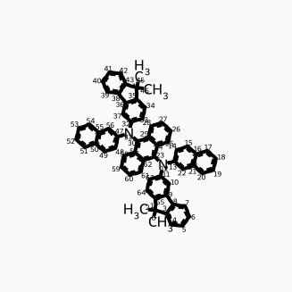 CC1(C)c2ccccc2-c2cc(N(c3ccc4ccccc4c3)c3c4ccccc4c(N(c4ccc5c(c4)-c4ccccc4C5(C)C)c4ccc5ccccc5c4)c4ccccc34)ccc21